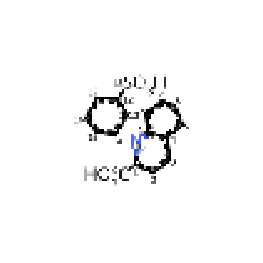 O=C(O)c1ccc2ccccc2n1.O=S(=O)(O)c1ccccc1